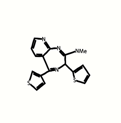 CNC1=Nc2ncccc2C(c2ccsc2)=NC1c1cccs1